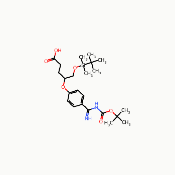 CC(C)(C)OC(=O)NC(=N)c1ccc(OC(CCC(=O)O)CO[Si](C)(C)C(C)(C)C)cc1